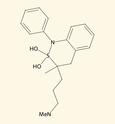 CNCCCC1(C)Cc2ccccc2N(c2ccccc2)S1(O)O